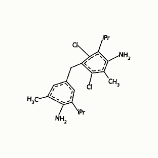 Cc1cc(Cc2c(Cl)c(C)c(N)c(C(C)C)c2Cl)cc(C(C)C)c1N